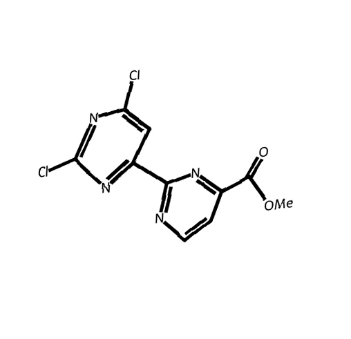 COC(=O)c1ccnc(-c2cc(Cl)nc(Cl)n2)n1